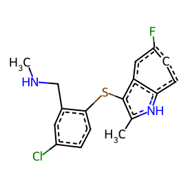 CNCc1cc(Cl)ccc1Sc1c(C)[nH]c2ccc(F)cc12